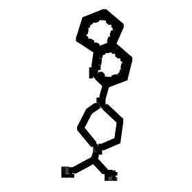 CCC(CC)N1CCN(c2ccc3ccccc3n2)CC1